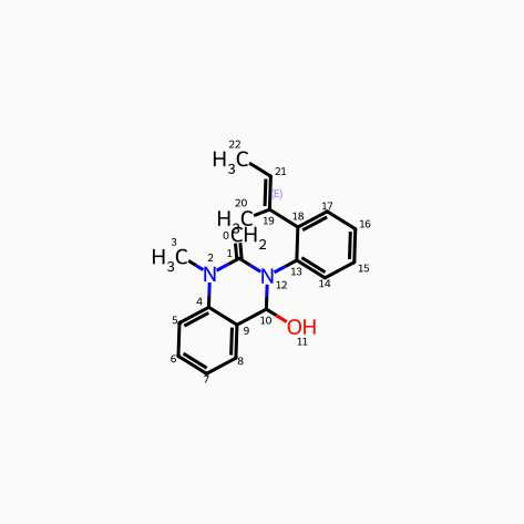 C=C1N(C)c2ccccc2C(O)N1c1ccccc1/C(C)=C/C